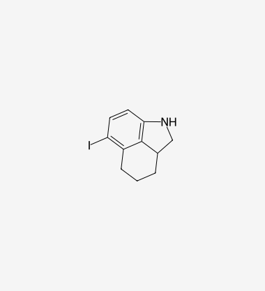 Ic1ccc2c3c1CCCC3CN2